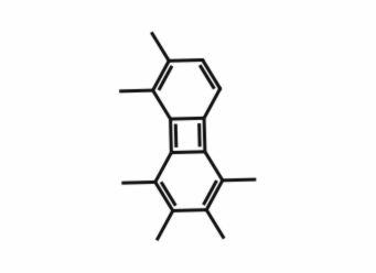 Cc1ccc2c(c1C)=c1c(C)c(C)c(C)c(C)c1=2